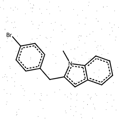 Cn1c(Cc2ccc(Br)cc2)cc2ccccc21